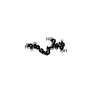 CCc1c(F)ccc2cc(O)cc(-c3ncc4c(N5CCC[C@@](C)(O)C5)nc(OCC5(CN6CCC(C)(CN7CC8(CCN(c9ccc%10c(c9)CN([C@H]9CCC(=O)NC9=O)C%10=O)CC8)C7)CC6)CC5)nc4c3F)c12